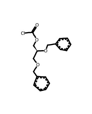 O=C(Cl)OC[C@H](COCc1ccccc1)OCc1ccccc1